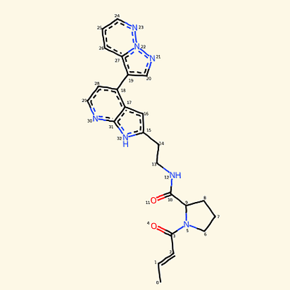 C/C=C/C(=O)N1CCCC1C(=O)NCCc1cc2c(-c3cnn4ncccc34)ccnc2[nH]1